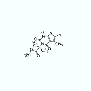 Cc1c(I)sc2[nH]c(=O)n(C(C)(C)C(=O)OC(C)(C)C)c(=O)c12